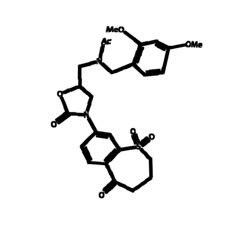 COc1ccc(CN(CC2CN(c3ccc4c(c3)S(=O)(=O)CCCC4=O)C(=O)O2)C(C)=O)c(OC)c1